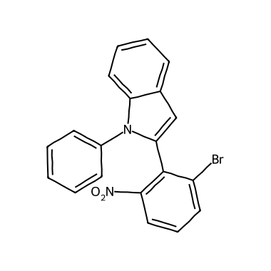 O=[N+]([O-])c1cccc(Br)c1-c1cc2ccccc2n1-c1ccccc1